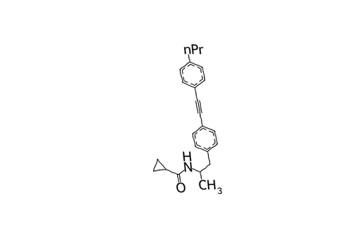 CCCc1ccc(C#Cc2ccc(CC(C)NC(=O)C3CC3)cc2)cc1